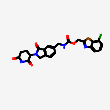 O=C1CCC(N2Cc3ccc(CNC(=O)OCc4nc5cccc(Cl)c5s4)cc3C2=O)C(=O)N1